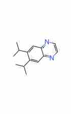 CC(C)c1cc2nccnc2cc1C(C)C